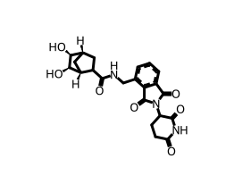 O=C1CCC(N2C(=O)c3cccc(CNC(=O)C4C[C@@H]5C[C@H]4[C@@H](O)[C@H]5O)c3C2=O)C(=O)N1